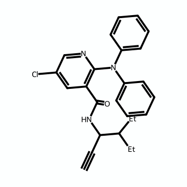 C#CC(NC(=O)c1cc(Cl)cnc1N(c1ccccc1)c1ccccc1)C(CC)CC